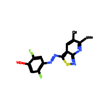 CSc1nc2nsc(/N=N/c3cc(F)c(O)cc3F)c2cc1C#N